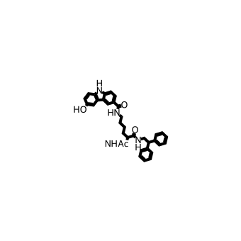 CC(=O)NC(CCCCNC(=O)c1ccc2[nH]c3ccc(O)cc3c2c1)C(=O)NCC(c1ccccc1)c1ccccc1